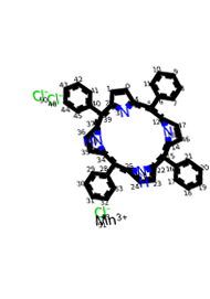 C1=Cc2nc1c(-c1ccccc1)c1nc(c(-c3ccccc3)c3ccc([nH]3)c(-c3ccccc3)c3ccc([nH]3)c2-c2ccccc2)C=C1.[Cl-].[Cl-].[Cl-].[Mn+3]